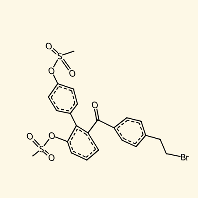 CS(=O)(=O)Oc1ccc(-c2c(OS(C)(=O)=O)cccc2C(=O)c2ccc(CCBr)cc2)cc1